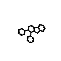 c1ccc(-c2ccc3c(c2-c2ccccc2)Cc2ccccc2-3)cc1